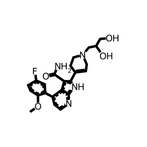 COc1ccc(F)cc1-c1ccnc2[nH]c(C3=CCN(CC(O)CO)CC3)c(C(N)=O)c12